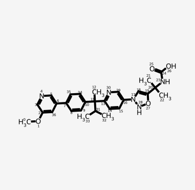 COc1cncc(-c2ccc(C(C)(c3ccc(N4C=C(C(C)(C)NC(=O)O)ON4)cn3)C(C)C)cc2)c1